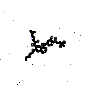 CCOCCOc1cc2ncnc(Nc3ccc(NCCS(C)(=O)=O)c(Cl)c3)c2cc1NC(=O)/C=C/CN(C)C